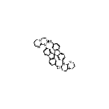 CCc1ccc2c(c1)C1(c3cc(CC)ccc3-c3ccc(N4CCCN5CCCN=C54)cc31)c1cc(N3CCCN4CCCN=C43)ccc1-2